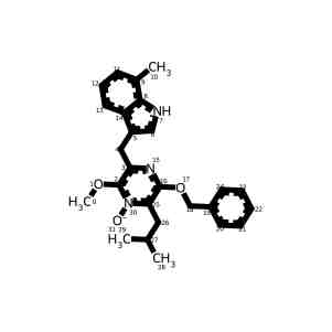 COc1c(Cc2c[nH]c3c(C)cccc23)nc(OCc2ccccc2)c(CC(C)C)[n+]1[O-]